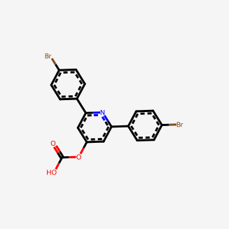 O=C(O)Oc1cc(-c2ccc(Br)cc2)nc(-c2ccc(Br)cc2)c1